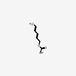 CC=CC=CCOC(=O)CCC